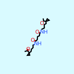 CC(=O)C1(CCCCNC(=O)CCCC(=O)NCCCCC2(C(C)=O)CC2)CC1